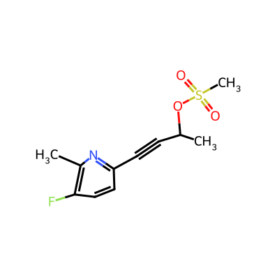 Cc1nc(C#CC(C)OS(C)(=O)=O)ccc1F